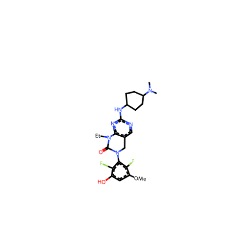 CCN1C(=O)N(c2c(F)c(O)cc(OC)c2F)Cc2cnc(NC3CCC(N(C)C)CC3)nc21